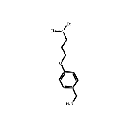 CCN(CC)CCCOc1ccc(CN)cc1